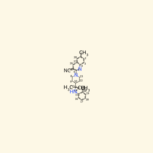 Cc1ccc2nc(N3CCC(C(C)(C)Nc4ccccc4C)CC3)c(C#N)cc2c1